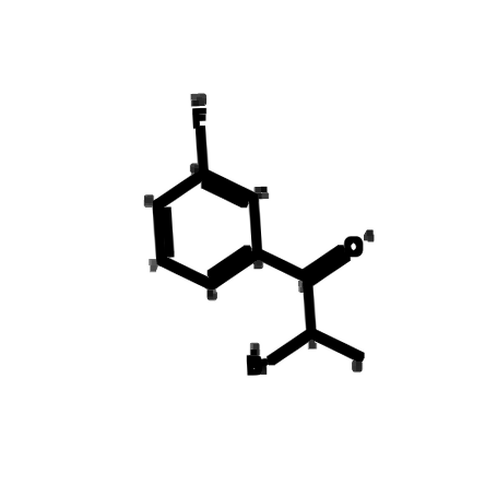 CC(Br)C(=O)c1cccc(F)c1